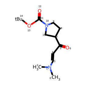 CN(C)C=CC(=O)C1CCN(C(=O)OC(C)(C)C)C1